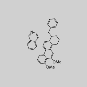 COc1cccc2c1c(OC)cc1c3c(ccc12)C(Cc1ccccc1)CCC3.c1ccc2cnccc2c1